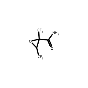 NC(=O)C1(C(F)(F)F)OC1C(F)(F)F